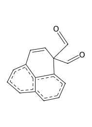 O=CC1(C=O)C=Cc2cccc3cccc1c23